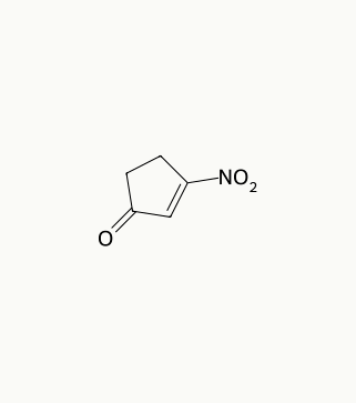 O=C1C=C([N+](=O)[O-])CC1